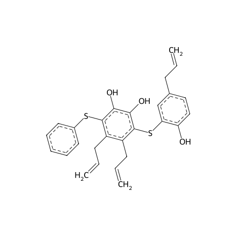 C=CCc1ccc(O)c(Sc2c(O)c(O)c(Sc3ccccc3)c(CC=C)c2CC=C)c1